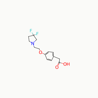 O=C(O)Cc1ccc(OCCN2CCC(F)(F)C2)cc1